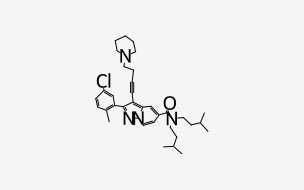 Cc1ccc(Cl)cc1-c1nn2ccc(C(=O)N(CCC(C)C)CCC(C)C)cc2c1C#CCCN1CCCCC1